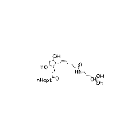 CCCCCCCC(=O)CC[C@@H]1[C@@H](C/C=C\CCCC(=O)NCCCON(O)O)[C@@H](O)C[C@H]1O